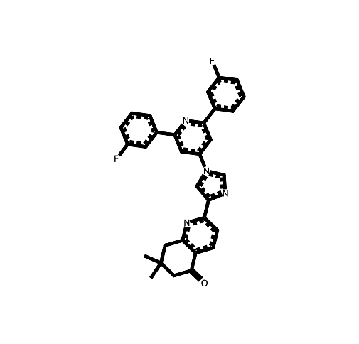 CC1(C)CC(=O)c2ccc(-c3cn(-c4cc(-c5cccc(F)c5)nc(-c5cccc(F)c5)c4)cn3)nc2C1